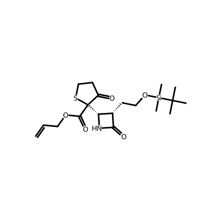 C=CCOC(=O)C1([C@H]2NC(=O)[C@H]2CCO[Si](C)(C)C(C)(C)C)SCCC1=O